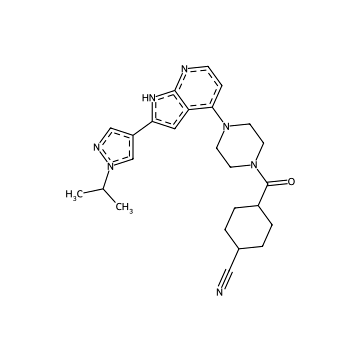 CC(C)n1cc(-c2cc3c(N4CCN(C(=O)C5CCC(C#N)CC5)CC4)ccnc3[nH]2)cn1